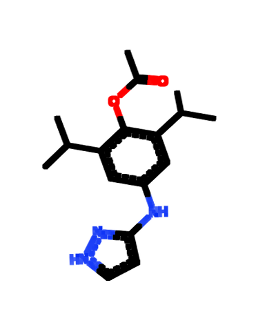 CC(=O)Oc1c(C(C)C)cc(Nc2cc[nH]n2)cc1C(C)C